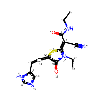 CCNC(=O)/C(C#N)=c1\sc(=C=Cc2cnc[nH]2)c(=O)n1CC